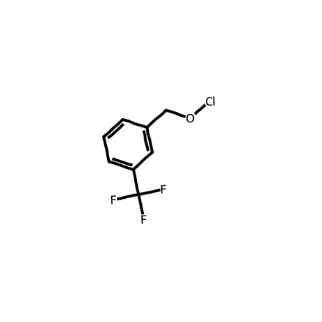 FC(F)(F)c1cccc(COCl)c1